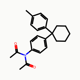 CC(=O)N(C(C)=O)c1ccc(C2(c3ccc(C)cc3)CCCCC2)cc1